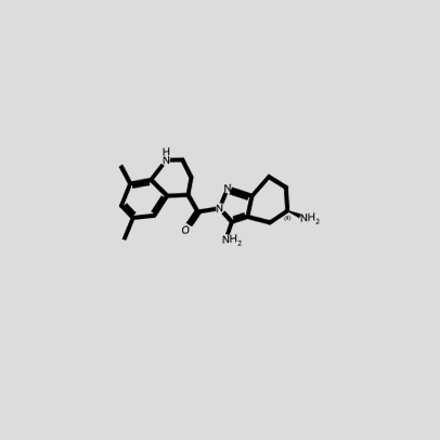 Cc1cc(C)c2c(c1)C(C(=O)n1nc3c(c1N)C[C@H](N)CC3)CCN2